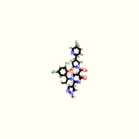 CCC(c1cc(F)cc(F)c1)n1c(-c2cnn(C)c2)nc(=O)c(C(=O)N2CCC(c3ccc(F)cn3)C2)c1O